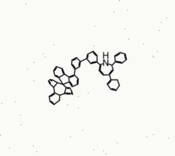 C1=CC(C2=CC=CCC2)=CC(c2ccccc2)NC=1c1cccc(-c2cccc(-c3cccc4c3-c3ccccc3C43c4ccccc4C4CC=CC=C4C4C=CC=CC43)c2)c1